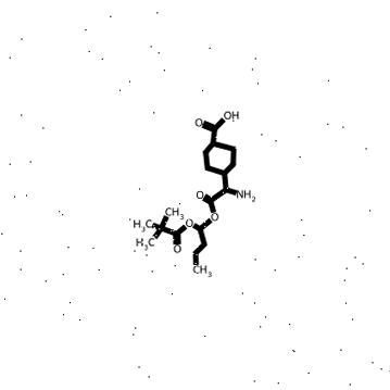 CCCC(OC(=O)C(N)C1CCC(C(=O)O)CC1)OC(=O)C(C)(C)C